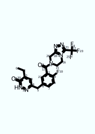 CCc1cc(Cc2ccc(F)c(C(=O)N3CCn4c(nnc4C(F)(F)F)C3)c2)n[nH]c1=O